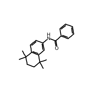 CC1(C)CCC(C)(C)c2cc(NC(=O)c3ccccc3)ccc21